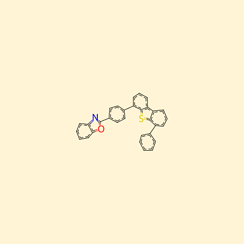 c1ccc(-c2cccc3c2sc2c(-c4ccc(-c5nc6ccccc6o5)cc4)cccc23)cc1